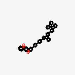 c1ccc(C2(c3ccccc3)c3ccccc3-c3ccc(-c4ccc5c6ccc(-c7ccc(-c8ccc(-c9ccc%10oc%11cc%12c(cc%11c%10c9)oc9ccccc9%12)cc8)cc7)cc6c6ccccc6c5c4)cc32)cc1